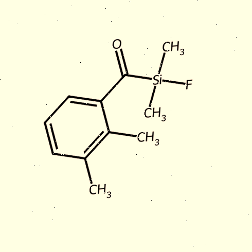 Cc1cccc(C(=O)[Si](C)(C)F)c1C